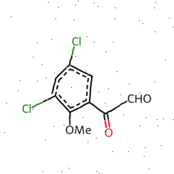 COc1c(Cl)cc(Cl)cc1C(=O)C=O